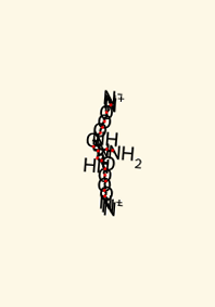 [N-]=[N+]=NCCOCCOCCOCCNC(=O)c1ccc2c3ccc(C(=O)NCCOCCOCCOCCN=[N+]=[N-])cc3n(CCCN)c2c1